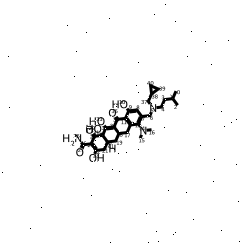 CC(C)CCN(Cc1cc(O)c2c(c1N(C)C)CC1C[C@H]3CC(O)=C(C(N)=O)C(=O)[C@@]3(O)C(O)=C1C2=O)CC1CC1